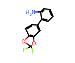 Nc1ccccc1-c1ccc2c(c1)OC(F)(F)O2